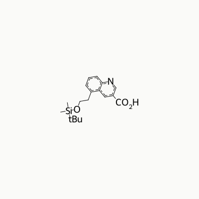 CC(C)(C)[Si](C)(C)OCCc1cccc2ncc(C(=O)O)cc12